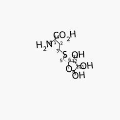 NC(CCSC[C@H]1O[C@@H](O)C(O)[C@H]1O)C(=O)O